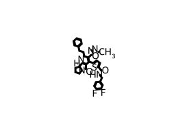 Cc1nnc(-c2c(CCc3ccccc3)nc3c(c2-c2ccc(C(=O)NCc4ccc(F)c(F)c4)s2)C(=O)N2CCC[C@@H]32)o1